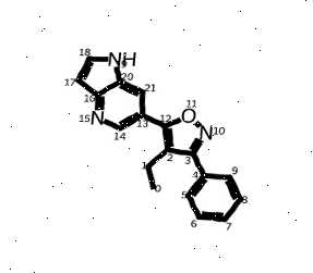 CCc1c(-c2ccccc2)noc1-c1cnc2cc[nH]c2c1